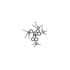 CCCC[Si](CCCC)(CCCC)c1cccc(P(c2cccc([Si](CCCC)(CCCC)CCCC)c2)N(Cc2ccccc2)P(c2ccc([Si](CCC)(CCC)CCC)cc2)c2ccc([Si](CCC)(CCC)CCC)cc2)c1